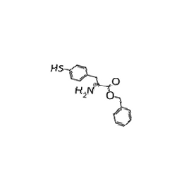 N[C@H](Cc1ccc(S)cc1)C(=O)OCc1ccccc1